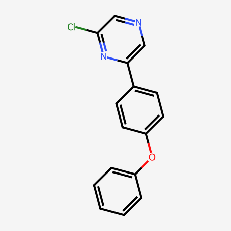 Clc1cncc(-c2ccc(Oc3ccccc3)cc2)n1